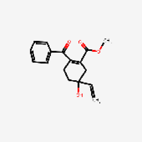 C=CC1(O)CCC(C(=O)c2ccccc2)=C(C(=O)OC)C1